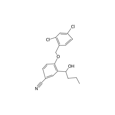 CCCC(O)c1cc(C#N)ccc1OCc1ccc(Cl)cc1Cl